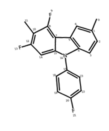 Cc1ccc2c(c1)c1c(F)c(C)c(F)cc1n2-c1ccc(F)cc1